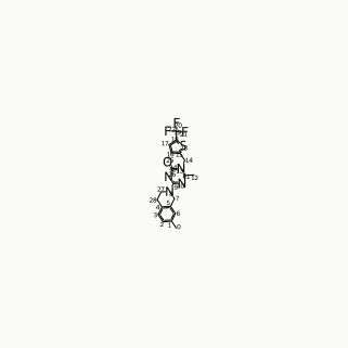 Cc1ccc2c(c1)CN(c1nc(C)n(Cc3ccc(C(F)(F)F)s3)c(=O)n1)CC2